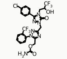 NC(=O)OCc1nc(Cn2nc(-c3ccc(Cl)cc3)n(CC(O)C(F)(F)F)c2=O)nn1-c1ccccc1C(F)(F)F